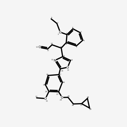 CCOc1ccccc1C(CC=O)c1coc(-c2ccc(OC)c(OCCC3CC3)c2)n1